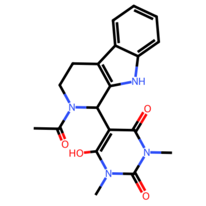 CC(=O)N1CCc2c([nH]c3ccccc23)C1c1c(O)n(C)c(=O)n(C)c1=O